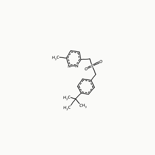 Cc1ccc(CS(=O)(=O)Cc2ccc(C(C)(C)C)cc2)nn1